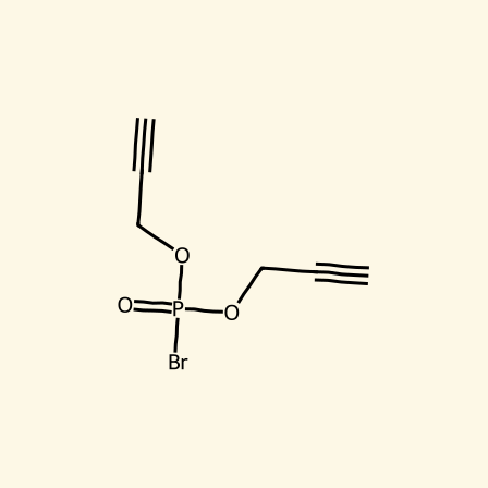 C#CCOP(=O)(Br)OCC#C